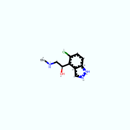 CC(C)(C)NC[C@H](O)c1c(Cl)ccc2[nH]ncc12